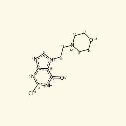 O=c1[nH]c(Cl)nc2ncn(CCN3CCOCC3)c12